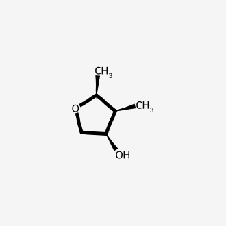 C[C@@H]1[C@H](C)OC[C@@H]1O